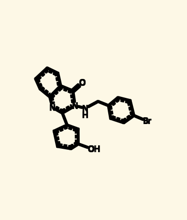 O=c1c2ccccc2nc(-c2cccc(O)c2)n1NCc1ccc(Br)cc1